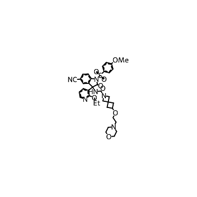 CCOc1ncccc1C1(NC(=O)N2CC3(CC(OCCN4CCOCC4)C3)C2)C(=O)N(S(=O)(=O)c2ccc(OC)cc2)c2ccc(C#N)cc21